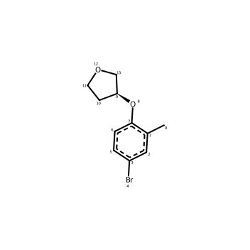 Cc1cc(Br)ccc1O[C@H]1CCOC1